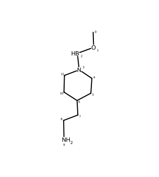 COBN1CCC(CCN)CC1